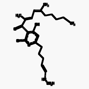 CC(=CC=C(C)C(=O)c1c(O)cc(CCCC=CNC(=O)O)oc1=O)CCCCC(F)(F)F